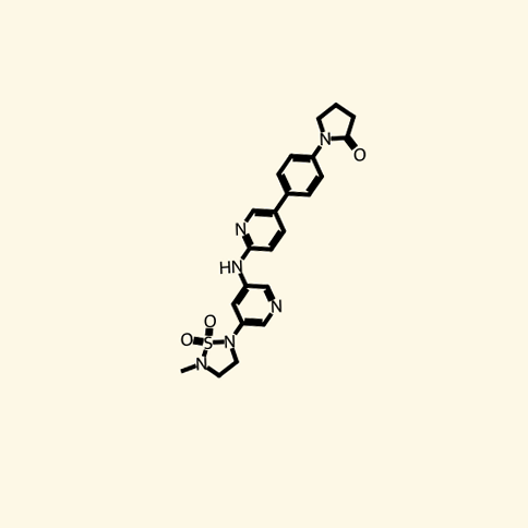 CN1CCN(c2cncc(Nc3ccc(-c4ccc(N5CCCC5=O)cc4)cn3)c2)S1(=O)=O